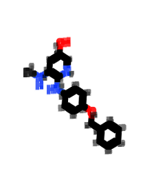 CCNc1cc(O)cnc1Nc1ccc(OCc2ccccc2)cc1